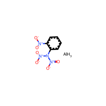 O=[N+]([O-])c1ccccc1N([N+](=O)[O-])[N+](=O)[O-].[AlH3]